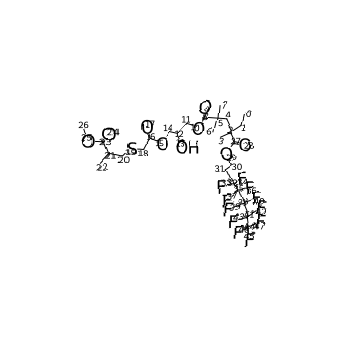 CCC(C)(CC(C)(C)C(=O)OCC(O)COC(=O)CSCC(C)C(=O)OC)C(=O)OCCC(F)(F)C(F)(F)C(F)(F)C(F)(F)C(F)(F)F